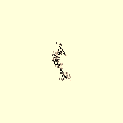 COCCOC(=O)C(C)(C)COS(=O)(=O)ON1C(=O)N2C[C@H]1CC[C@H]2C(=O)NOCCNC(=O)OC(C)(C)C